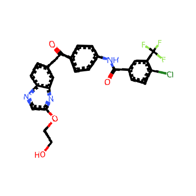 O=C(Nc1ccc(C(=O)c2ccc3ncc(OCCO)nc3c2)cc1)c1ccc(Cl)c(C(F)(F)F)c1